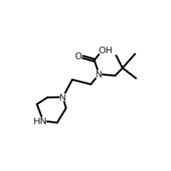 CC(C)(C)CN(CCN1CCNCC1)C(=O)O